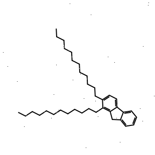 CCCCCCCCCCCCc1ccc2c(c1CCCCCCCCCCCC)Cc1ccccc1-2